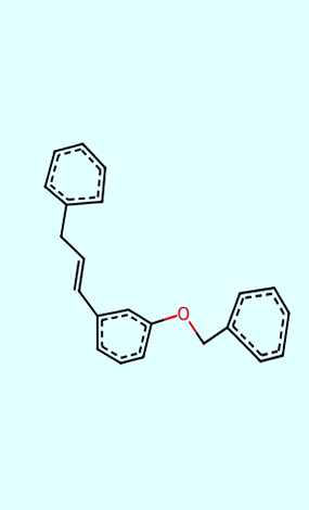 C(=C\c1cccc(OCc2ccccc2)c1)/Cc1ccccc1